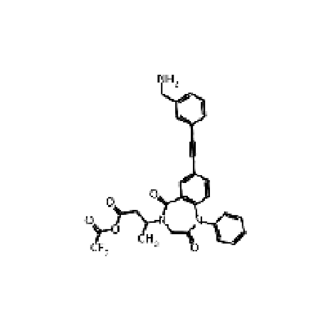 CC(CC(=O)OC(=O)C(F)(F)F)N1CC(=O)N(c2ccccc2)c2ccc(C#Cc3cccc(CN)c3)cc2C1=O